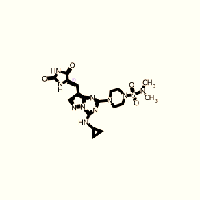 CN(C)S(=O)(=O)N1CCN(c2nc(NC3CC3)n3ncc(/C=C4\NC(=O)NC4=O)c3n2)CC1